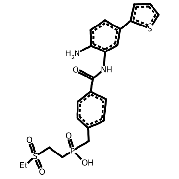 CCS(=O)(=O)CCP(=O)(O)Cc1ccc(C(=O)Nc2cc(-c3cccs3)ccc2N)cc1